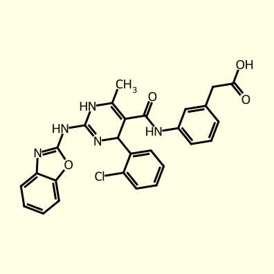 CC1=C(C(=O)Nc2cccc(CC(=O)O)c2)C(c2ccccc2Cl)N=C(Nc2nc3ccccc3o2)N1